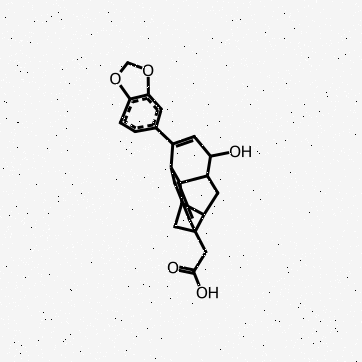 O=C(O)CC12C=CC3C(c4ccc5c(c4)OCO5)=CC(O)C4CC1C(C2)C34